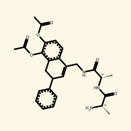 CC(=O)Oc1ccc2c(c1OC(C)=O)CC(c1ccccc1)C=C2CNC(=O)[C@H](C)NC(=O)[C@H](C)N